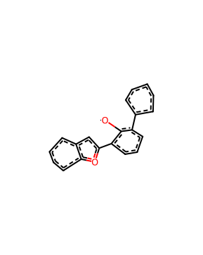 [O]c1c(-c2ccccc2)cccc1-c1cc2ccccc2o1